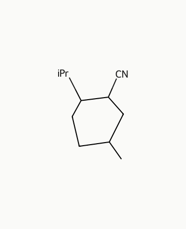 CC1CCC(C(C)C)C(C#N)C1